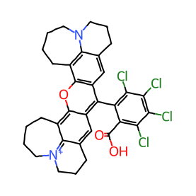 O=C(O)c1c(Cl)c(Cl)c(Cl)c(Cl)c1C1=c2cc3c4c(c2Oc2c1cc1c5c2CCCCN5CCC1)CCCC[N+]=4CCC3